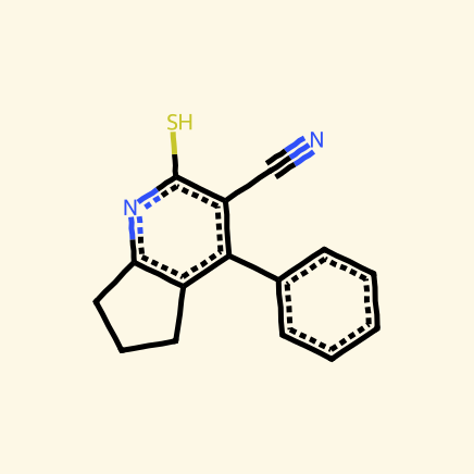 N#Cc1c(S)nc2c(c1-c1ccccc1)CCC2